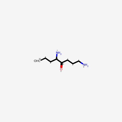 NCCCC(=O)C(N)CC[C]=O